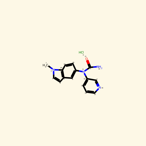 Cl.Cn1ccc2cc(N(C(N)=O)c3cccnc3)ccc21